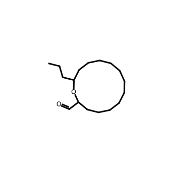 CCCC1CCCCCCCCCCCC(C=O)O1